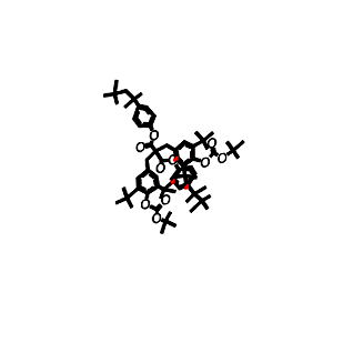 CC(C)(C)CC(C)(C)c1ccc(OC(=O)C(Cc2cc(C(C)(C)C)c(OC(=O)OC(C)(C)C)c(C(C)(C)C)c2)(Cc2cc(C(C)(C)C)c(OC(=O)OC(C)(C)C)c(C(C)(C)C)c2)C(=O)Oc2ccc(C(C)(C)C(C)(C)C)cc2)cc1